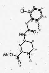 COC(=O)C1CC(NC(=O)Cc2c(F)cccc2Cl)CCN1C